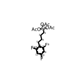 CC(=O)O[Si](CCCCc1c(F)cc(F)cc1F)(OC(C)=O)OC(C)=O